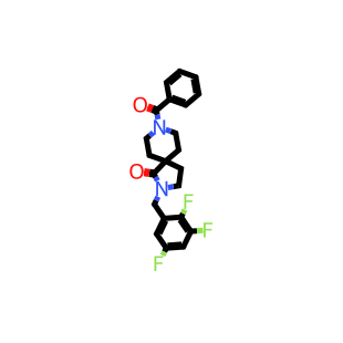 O=C(c1ccccc1)N1CCC2(CC1)CCN(Cc1cc(F)cc(F)c1F)C2=O